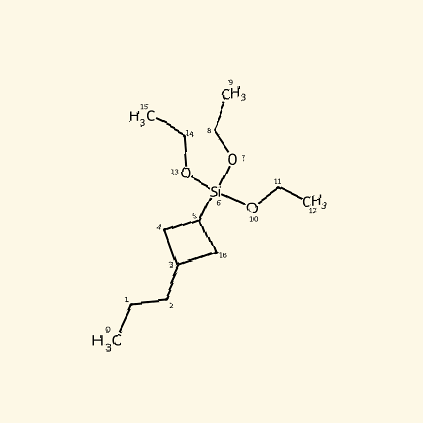 CCCC1CC([Si](OCC)(OCC)OCC)C1